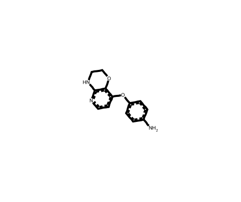 Nc1ccc(Oc2ccnc3c2OCCN3)cc1